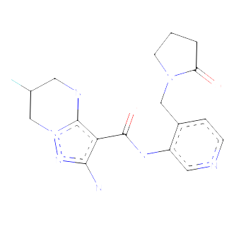 Nc1nn2c(c1C(=O)Nc1cnccc1CN1CCCC1=O)NCC(F)C2